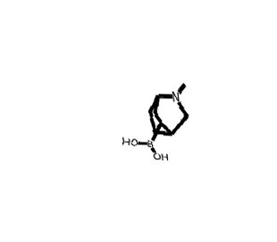 CN1CC2CCC1CC2B(O)O